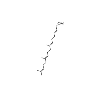 CC(C)=CCC/C(C)=C/CC/C(C)=C/CC/C=C/CO